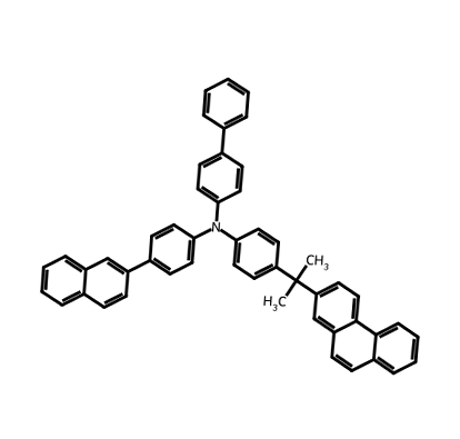 CC(C)(c1ccc(N(c2ccc(-c3ccccc3)cc2)c2ccc(-c3ccc4ccccc4c3)cc2)cc1)c1ccc2c(ccc3ccccc32)c1